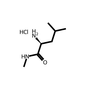 CNC(=O)[C@@H](N)CC(C)C.Cl